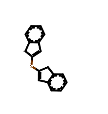 [CH]1C(SC2=Cc3ccccc3[CH]2)=Cc2ccccc21